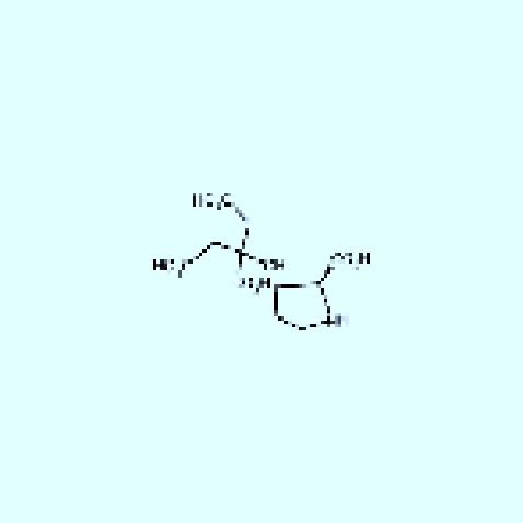 O=C(O)CC(O)(CC(=O)O)C(=O)O.O=C(O)[C@@H]1CCCN1